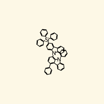 c1ccc(-c2ccc(-n3c4ccccc4c4cc([Si](c5ccccc5)(c5ccccc5)c5ccccc5)ccc43)c3c2c2ccccc2n3-c2ccccc2)cc1